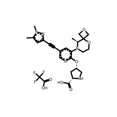 Cc1cc(C#Cc2cnc(O[C@@H]3CN[C@H](C(=O)O)C3)c(N3CCOC4(COC4)[C@@H]3C)c2)nn1C.O=C(O)C(F)(F)F